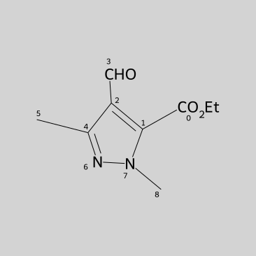 CCOC(=O)c1c(C=O)c(C)nn1C